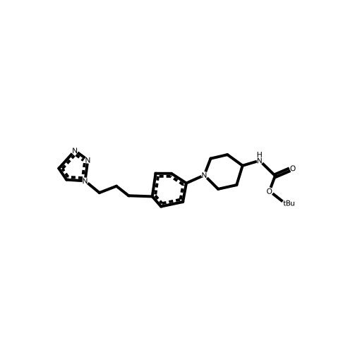 CC(C)(C)OC(=O)NC1CCN(c2ccc(CCCn3ccnn3)cc2)CC1